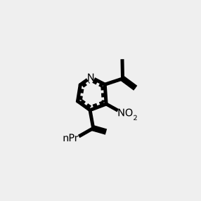 C=C(CCC)c1ccnc(C(=C)C)c1[N+](=O)[O-]